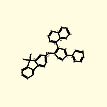 CC1(C)c2ccccc2-c2ccc(Nc3ccc(-c4ccccc4)cc3-c3cccc4ccccc34)cc21